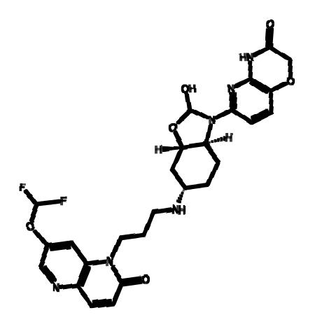 O=C1COc2ccc(N3C(O)O[C@H]4C[C@@H](NCCCn5c(=O)ccc6ncc(OC(F)F)cc65)CC[C@@H]43)nc2N1